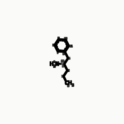 CCC[C@H](N)Cc1ccccc1